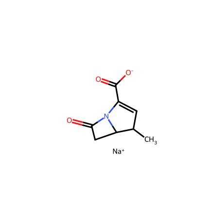 CC1C=C(C(=O)[O-])N2C(=O)CC12.[Na+]